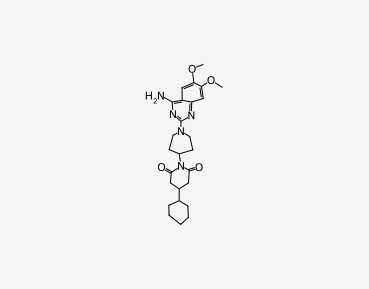 COc1cc2nc(N3CCC(N4C(=O)CC(C5CCCCC5)CC4=O)CC3)nc(N)c2cc1OC